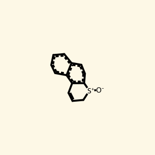 [O-][S+]1CC=Cc2c1ccc1ccccc21